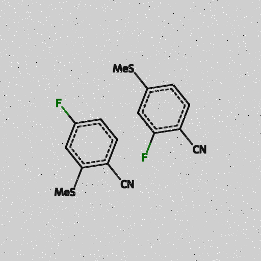 CSc1cc(F)ccc1C#N.CSc1ccc(C#N)c(F)c1